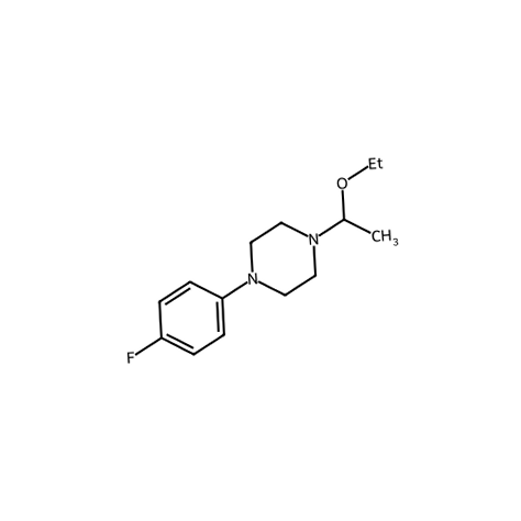 CCOC(C)N1CCN(c2ccc(F)cc2)CC1